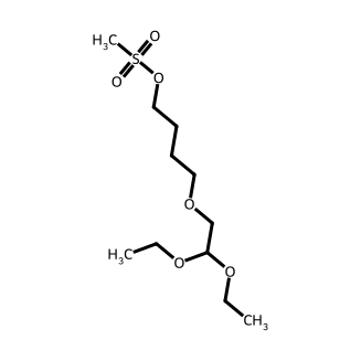 CCOC(COCCCCOS(C)(=O)=O)OCC